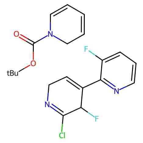 CC(C)(C)OC(=O)N1C=CC=CC1.Fc1cccnc1C1=CCN=C(Cl)C1F